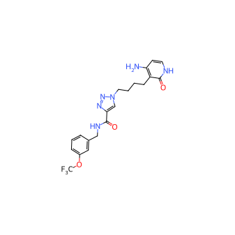 Nc1cc[nH]c(=O)c1CCCCn1cc(C(=O)NCc2cccc(OC(F)(F)F)c2)nn1